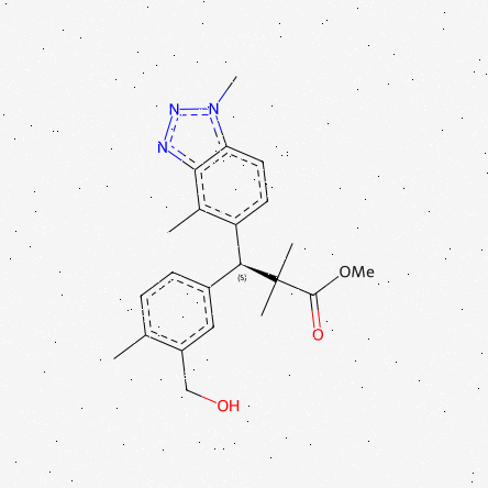 COC(=O)C(C)(C)[C@@H](c1ccc(C)c(CO)c1)c1ccc2c(nnn2C)c1C